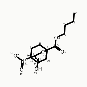 CCCCOC(=O)C12CCC([N+](=O)[O-])(C(O)C1)C(O)C2